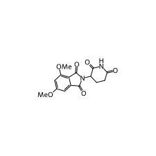 COc1cc(OC)c2c(c1)C(=O)N(C1CCC(=O)NC1=O)C2=O